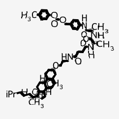 Cc1ccc(OC(=O)OCc2ccc(NC(=O)[C@H](C)NC(=O)[C@H](C)NC(=O)CCC(=O)NCCCO[C@H]3CC[C@@]4(C)C(=CC[C@H]5[C@@H]6CC[C@H]([C@H](C)CCCC(C)C)[C@@]6(C)CC[C@@H]54)C3)cc2)cc1